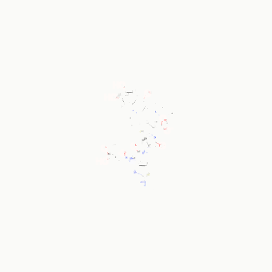 CCn1cc(C[N+]2(CC3=C(C(=O)[O-])N4C(=O)[C@@H](NC(=O)/C(=N\OC(C)(C)C(=O)O)c5csc(N)n5)[C@H]4SC3)CCCC2)c(=O)c2cc(O)c(O)cc21